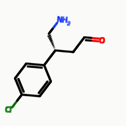 NC[C@H](CC=O)c1ccc(Cl)cc1